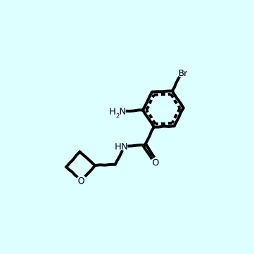 Nc1cc(Br)ccc1C(=O)NCC1CCO1